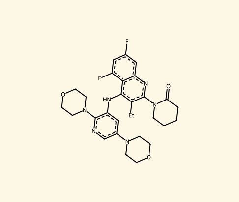 CCc1c(N2CCCCC2=O)nc2cc(F)cc(F)c2c1Nc1cc(N2CCOCC2)cnc1N1CCOCC1